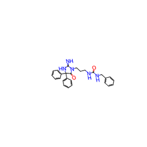 N=C1NC(c2ccccc2)(c2ccccc2)C(=O)N1CCCNC(=O)NCc1ccccc1